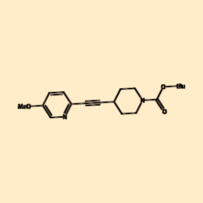 COc1ccc(C#CC2CCN(C(=O)OC(C)(C)C)CC2)nc1